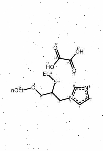 CCCCCCCCOCC(Cn1ccnc1)SCC.O=C(O)C(=O)O